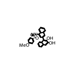 COc1ccc(S(=O)(=O)Nc2cc(-c3c(O)c(O)cc4ccccc34)cc3ccccc23)cc1